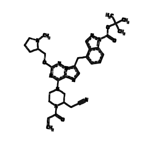 C=CC(=O)N1CCN(c2nc(OCC3CCCN3C)nn3c(Cc4cccc5c4cnn5C(=O)OC(C)(C)C)cnc23)CC1CC#N